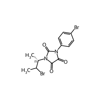 CC(Br)[C@H](C)N1C(=O)C(=O)N(c2ccc(Br)cc2)C1=O